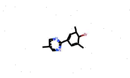 CC1=CC(c2ncc(C)cn2)=CC(C)C1Br